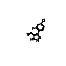 Fc1cc(Cl)ccc1N1N=NNC1C=S